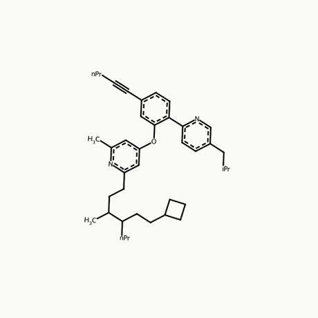 CCCC#Cc1ccc(-c2ccc(CC(C)C)cn2)c(Oc2cc(C)nc(CCC(C)C(CCC)CCC3CCC3)c2)c1